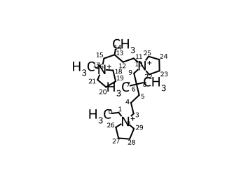 CC[N+]1(CCCC(C)(C)C[N+]2(CCC(C)C[N+]3(C)CCCC3)CCCC2)CCCC1